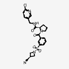 N#CC1CN(S(=O)(=O)c2cccc(C(=O)N3CCC[C@@H]3C(=O)NCc3ccc(Cl)nc3)c2)C1